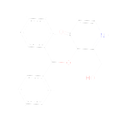 O=C1C=CN=C(CO)C1OC(c1ccccc1)c1ccccc1